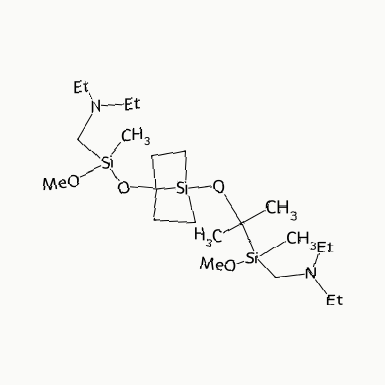 CCN(CC)C[Si](C)(OC)OC12CC[Si]1(OC(C)(C)[Si](C)(CN(CC)CC)OC)CC2